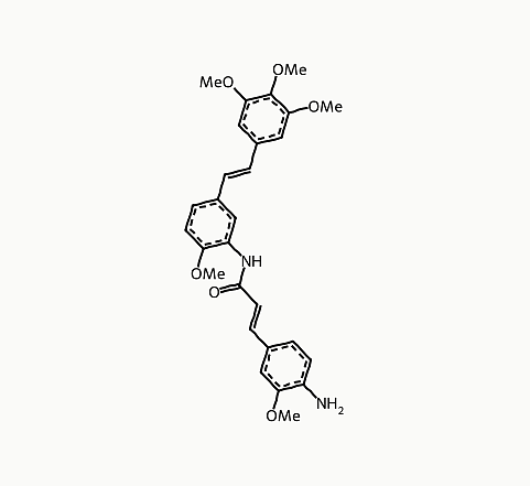 COc1cc(/C=C/C(=O)Nc2cc(C=Cc3cc(OC)c(OC)c(OC)c3)ccc2OC)ccc1N